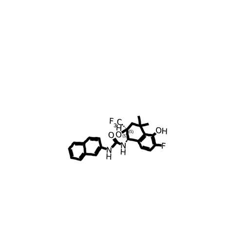 CC1(C)C[C@@](O)(C(F)(F)F)[C@@H](NC(=O)Nc2ccc3ccccc3c2)c2ccc(F)c(O)c21